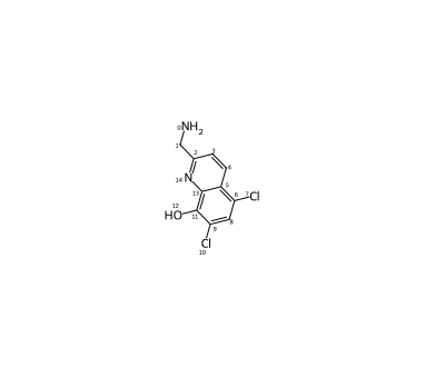 NCc1ccc2c(Cl)cc(Cl)c(O)c2n1